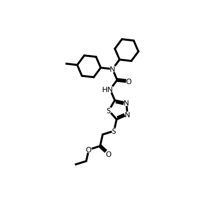 CCOC(=O)CSc1nnc(NC(=O)N(C2CCCCC2)C2CCC(C)CC2)s1